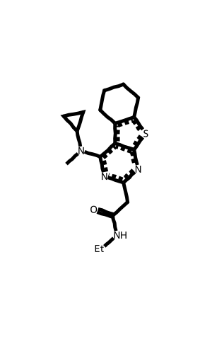 CCNC(=O)Cc1nc(N(C)C2CC2)c2c3c(sc2n1)CCCC3